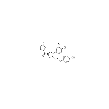 N#Cc1ccc(OCCC2CN(C(=O)C3CCNC3)CC2c2ccc(Cl)c(Cl)c2)nc1